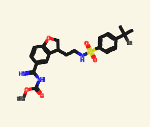 CCC(C)(C)c1ccc(S(=O)(=O)NCCC2COc3ccc(C(=N)NC(=O)OC(C)(C)C)cc32)cc1